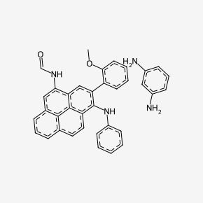 COc1ccccc1-c1cc2c(NC=O)cc3cccc4ccc(c1Nc1ccccc1)c2c43.Nc1cccc(N)c1